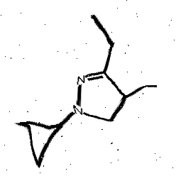 CCC1=NN(C2CC2)CC1C